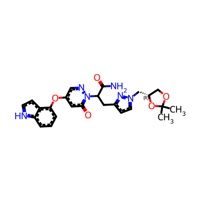 CC1(C)OC[C@@H](Cn2ccc(CC(C(N)=O)n3ncc(Oc4cccc5[nH]ccc45)cc3=O)n2)O1